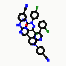 N#Cc1ccc(Nc2ncc(-c3ccccc3Cl)c(C(=NN(C(N)=O)c3ccc(F)cc3)c3nc(Nc4ccc(C#N)cc4)ncc3-c3ccccc3Cl)n2)cc1